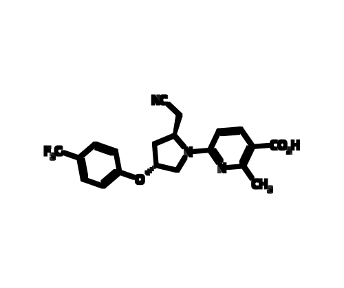 Cc1nc(N2C[C@H](Oc3ccc(C(F)(F)F)cc3)C[C@H]2CC#N)ccc1C(=O)O